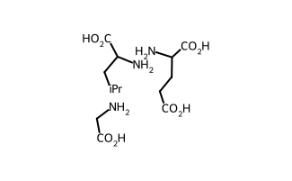 CC(C)CC(N)C(=O)O.NC(CCC(=O)O)C(=O)O.NCC(=O)O